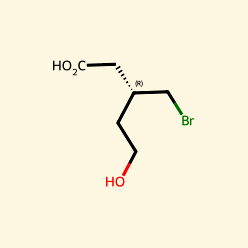 O=C(O)C[C@H](CBr)CCO